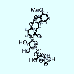 COc1cccc2c(Cn3c(=O)ccn([C@@H]4O[C@H](COP(=O)(O)OP(=O)(O)O)C(O)[C@@H]4O)c3=O)noc12